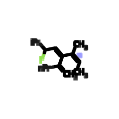 C=C(CCC)C(=CC(F)C(C)C)/C(C)=C\C